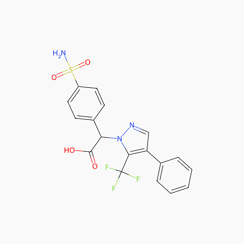 NS(=O)(=O)c1ccc(C(C(=O)O)n2ncc(-c3ccccc3)c2C(F)(F)F)cc1